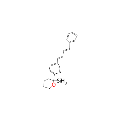 [SiH3]C1(c2ccc(C=CC=Cc3ccccc3)cc2)CCCCO1